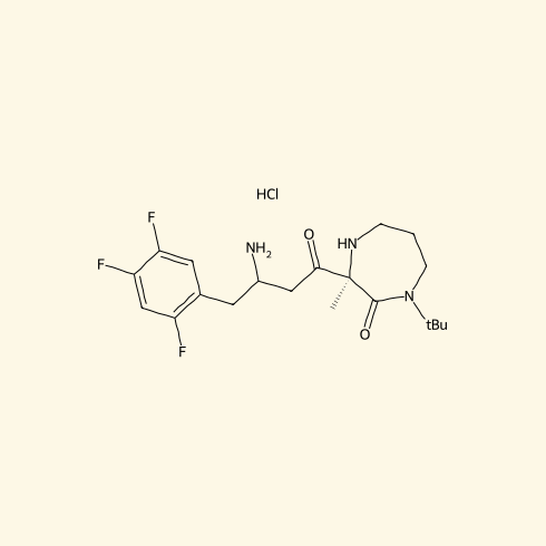 CC(C)(C)N1CCCN[C@](C)(C(=O)CC(N)Cc2cc(F)c(F)cc2F)C1=O.Cl